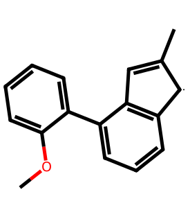 COc1ccccc1-c1cccc2c1C=C(C)[CH]2